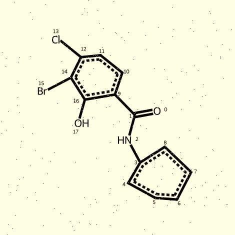 O=C(Nc1ccccc1)c1ccc(Cl)c(Br)c1O